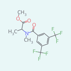 COC(=O)C(C)N(C)C(=O)c1cc(C(F)(F)F)cc(C(F)(F)F)c1